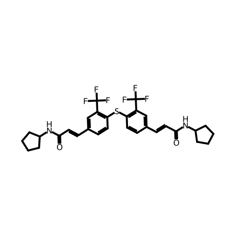 O=C(/C=C/c1ccc(Sc2ccc(/C=C/C(=O)NC3CCCC3)cc2C(F)(F)F)c(C(F)(F)F)c1)NC1CCCC1